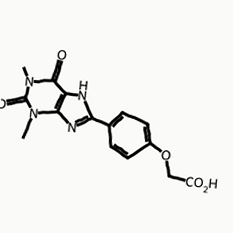 Cn1c(=O)c2[nH]c(-c3ccc(OCC(=O)O)cc3)nc2n(C)c1=O